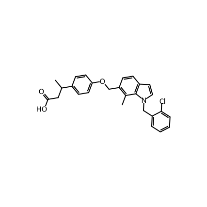 Cc1c(COc2ccc(C(C)CC(=O)O)cc2)ccc2ccn(Cc3ccccc3Cl)c12